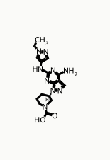 CCn1cc(Nc2nc(N)c3cnn([C@@H]4CCCN(C(=O)O)C4)c3n2)cn1